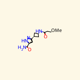 COCCC(=O)N[C@H]1C[C@@H](c2cc(C(N)=O)[nH]n2)C1